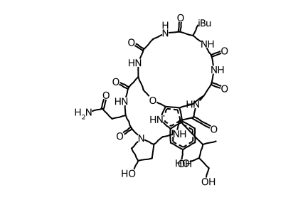 CCC(C)C1NC(=O)NC(=O)C2Cc3c([nH]c4cc(O)ccc34)OCC(NC(=O)CNC1=O)C(=O)NC(CC(N)=O)C(=O)N1CC(O)CC1CNC(C(C)C(O)CO)C(=O)N2